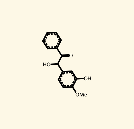 COc1ccc(C(O)C(=O)c2ccccc2)cc1O